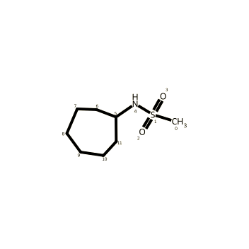 CS(=O)(=O)NC1CCCCCC1